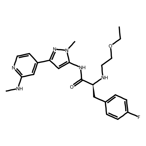 CCOCCN[C@@H](Cc1ccc(F)cc1)C(=O)Nc1cc(-c2ccnc(NC)c2)nn1C